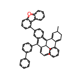 CC1C=C(C2=c3ccc(-c4cccc5oc6ccccc6c45)cc3=C(c3cccc(-c4ccccc4)c3)C3=CC=CCC32)C(c2ccccc2)=CC1